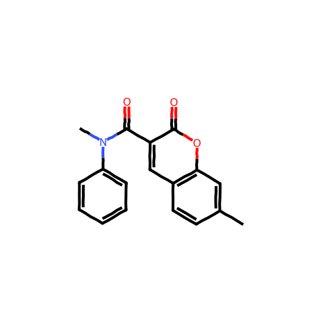 Cc1ccc2cc(C(=O)N(C)c3ccccc3)c(=O)oc2c1